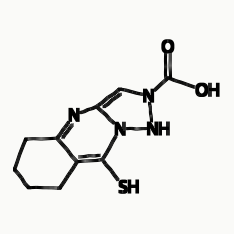 O=C(O)N1C=C2N=C3CCCCC3=C(S)N2N1